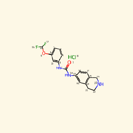 Cl.O=C(Nc1cccc(OC(F)F)c1)Nc1ccc2c(c1)CCNC2